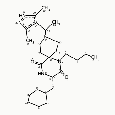 CCCCN1C(=O)[C@H](CC2CCCCC2)NC(=O)C12CCN(C(C)c1c(C)n[nH]c1C)CC2